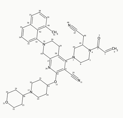 C=CC(=O)N1CCN(c2c(C#N)c(OC3CCN(C4CCOCC4)CC3)nc3c2CCN(c2cccc4cccc(C)c24)C3)CC1CC#N